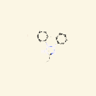 Br.CCC1=NN(c2ccccc2)N(c2ccccc2)N1